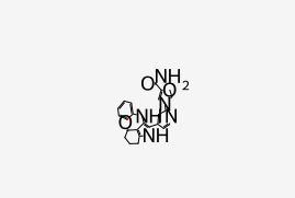 NC(=O)C1=CN(c2cc(-c3[nH]c4c(c3Nc3ccccc3)C(=O)CCC4)ccn2)CO1